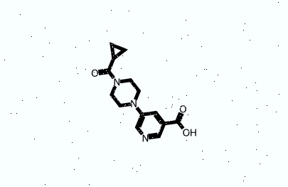 O=C(O)c1cncc(N2CCN(C(=O)C3CC3)CC2)c1